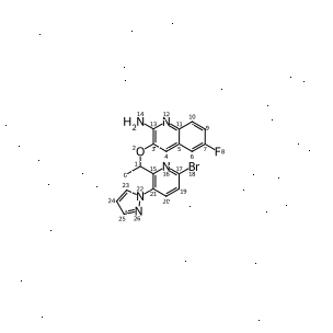 CC(Oc1cc2cc(F)ccc2nc1N)c1nc(Br)ccc1-n1cccn1